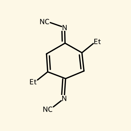 CCC1=CC(=NC#N)C(CC)=CC1=NC#N